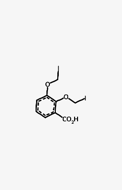 O=C(O)c1cccc(OCI)c1OCI